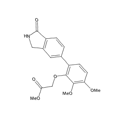 COC(=O)COc1c(-c2ccc3c(c2)CNC3=O)ccc(OC)c1OC